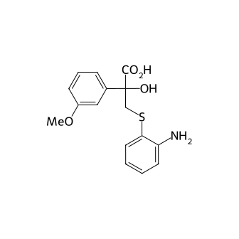 COc1cccc(C(O)(CSc2ccccc2N)C(=O)O)c1